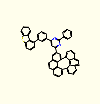 c1ccc(-c2nc(-c3cccc(-c4cccc5sc6ccccc6c45)c3)cc(-c3cc4ccc5cccc6c7cccc8ccc9cccc(c(c3)c4c56)c9c87)n2)cc1